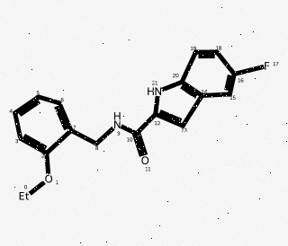 CCOc1ccccc1CNC(=O)c1cc2cc(F)ccc2[nH]1